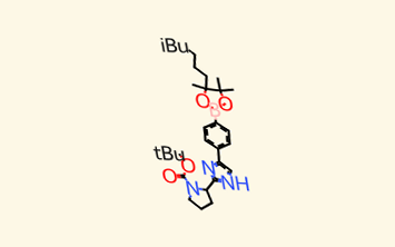 CCC(C)CCCC1(C)OB(c2ccc(-c3c[nH]c(C4CCCN4C(=O)OC(C)(C)C)n3)cc2)OC1(C)C